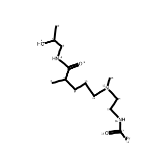 CC(O)CNC(=O)C(C)CCCN(C)CCNC(=O)C(C)C